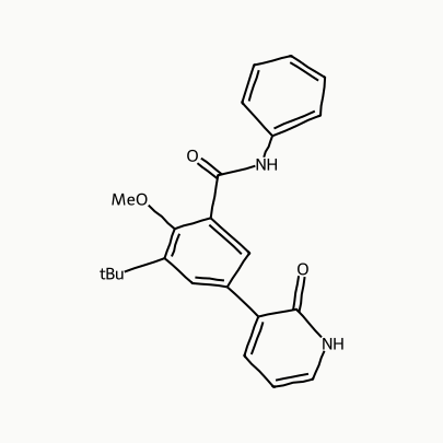 COc1c(C(=O)Nc2ccccc2)cc(-c2ccc[nH]c2=O)cc1C(C)(C)C